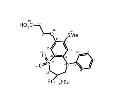 CCCC[C@@]1(CC)CN(c2ccccc2)c2cc(SC)c(OCCC(=O)O)cc2S(=O)(=O)C1